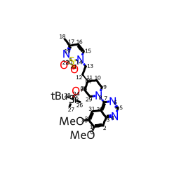 COc1cc2ncnc(N3CC[C@H](CCN4C=CC(C)=NS4(=O)=O)[C@@H](O[Si](C)(C)C(C)(C)C)C3)c2cc1OC